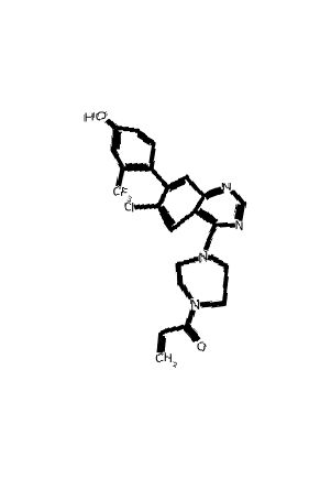 C=CC(=O)N1CCN(c2ncnc3cc(-c4ccc(O)cc4C(F)(F)F)c(Cl)cc23)CC1